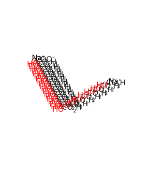 O=C(O)O.O=C(O)O.O=C(O)O.O=C(O)O.O=C(O)O.O=C(O)O.O=C(O)O.O=C(O)O.O=C(O)O.O=C(O)O.O=C(O)O.O=C(O)O.O=C(O)O.O=C(O)O.O=C(O)O.O=C(O)O.O=C(O)O.O=C(O)O.O=C(O)O.O=C(O)O.O=C(O)O.O=C(O)O.O=C(O)O.O=C(O)O.O=C(O)O.O=C(O)O.O=C([O-])[O-].[Na+].[Na+]